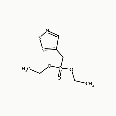 CCOP(=O)(Cc1cnsn1)OCC